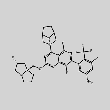 Cc1cc(N)nc(-c2nc(F)c3c(N4CC5CCC(C4)N5)nc(OC[C@@]45CCCN4C[C@H](F)C5)nc3c2F)c1C(F)(F)F